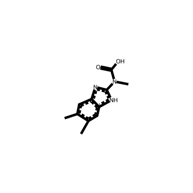 Cc1cc2nc(N(C)C(=O)O)[nH]c2cc1C